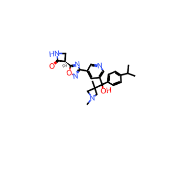 CC(C)c1ccc(C(O)(c2cncc(-c3noc([C@@H]4CNC4=O)n3)c2)C2(C)CN(C)C2)cc1